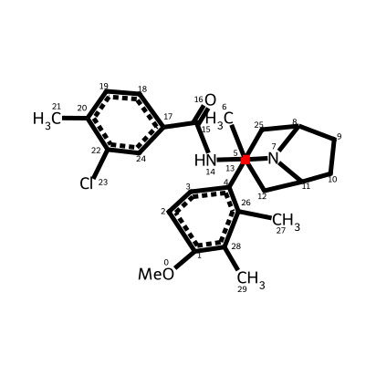 COc1ccc(C(C)N2C3CCC2CC(NC(=O)c2ccc(C)c(Cl)c2)C3)c(C)c1C